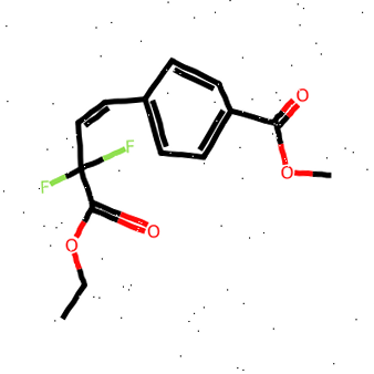 CCOC(=O)C(F)(F)/C=C\c1ccc(C(=O)OC)cc1